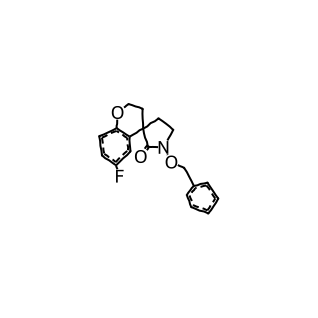 O=C1N(OCc2ccccc2)CCC12CCOc1ccc(F)cc12